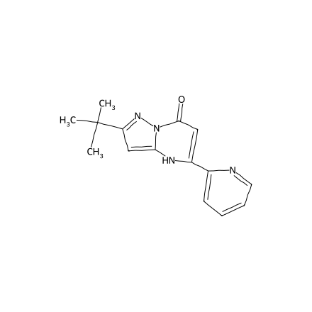 CC(C)(C)c1cc2[nH]c(-c3ccccn3)cc(=O)n2n1